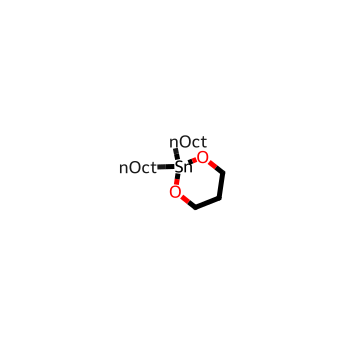 CCCCCCC[CH2][Sn]1([CH2]CCCCCCC)[O]CCC[O]1